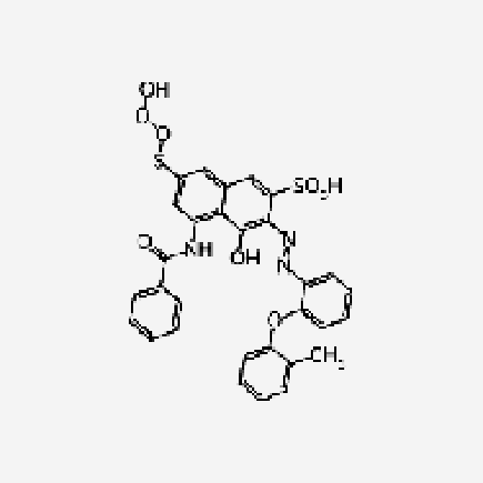 Cc1ccccc1Oc1ccccc1N=Nc1c(S(=O)(=O)O)cc2cc(SOOO)cc(NC(=O)c3ccccc3)c2c1O